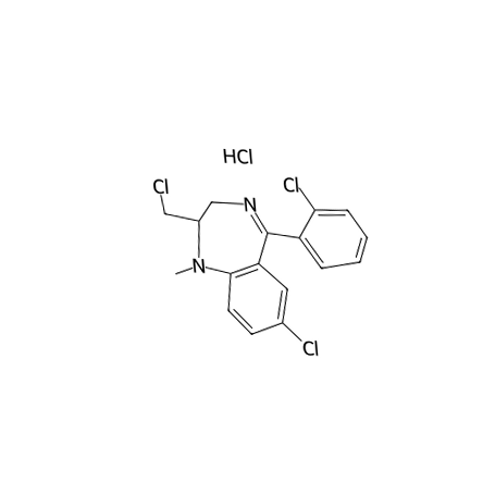 CN1c2ccc(Cl)cc2C(c2ccccc2Cl)=NCC1CCl.Cl